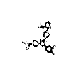 CC(=O)N1CCN(c2nc(-c3ccc(F)c(Cl)c3)nc(N3CCN(c4ncccc4C(F)(F)F)CC3)n2)CC1